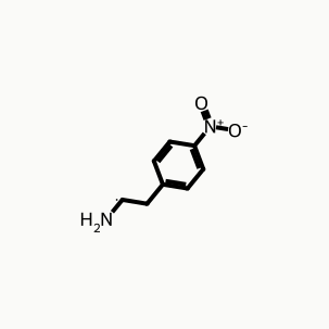 N[CH]Cc1ccc([N+](=O)[O-])cc1